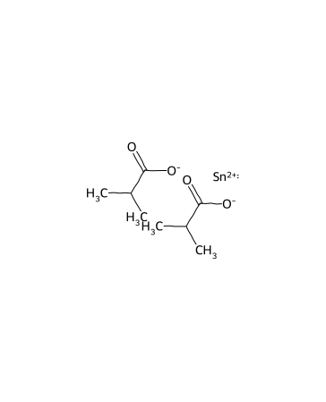 CC(C)C(=O)[O-].CC(C)C(=O)[O-].[Sn+2]